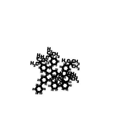 CC(C)(C)c1cccc(N2c3cc(C(C)(C)C)ccc3B3c4ccc(-c5ccccc5)cc4N(c4cccc(-c5ccccc5)c4)c4cc(N5c6ccc(C(C)(C)C)cc6C6(C)C(C)(C)CCC(C)(C)C56C)cc2c43)c1